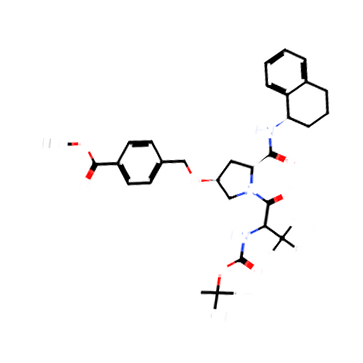 COC(=O)c1ccc(CO[C@H]2C[C@@H](C(=O)N[C@@H]3CCCc4ccccc43)N(C(=O)C(NC(=O)OC(C)(C)C)C(C)(C)C)C2)cc1